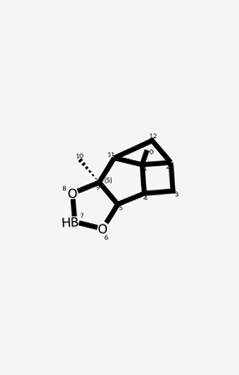 CC12C3CC1C1OBO[C@@]1(C)C2C3